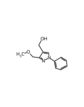 COCc1nn(-c2ccccc2)cc1CO